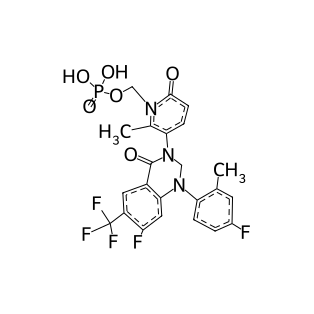 Cc1cc(F)ccc1N1CN(c2ccc(=O)n(COP(=O)(O)O)c2C)C(=O)c2cc(C(F)(F)F)c(F)cc21